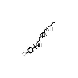 CCCCNCc1cn(CCCNC(C)(C)c2ccc(Cl)cc2)cn1